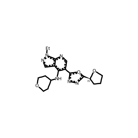 CCn1ncc2c(NC3CCOCC3)c(-c3nnc([C@@H]4CCCO4)o3)cnc21